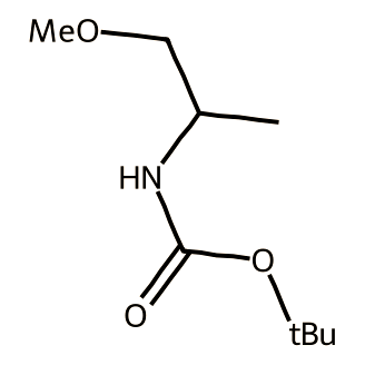 COCC(C)NC(=O)OC(C)(C)C